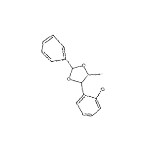 [CH2]C1OC(c2ccccc2)OC1c1ccccc1Cl